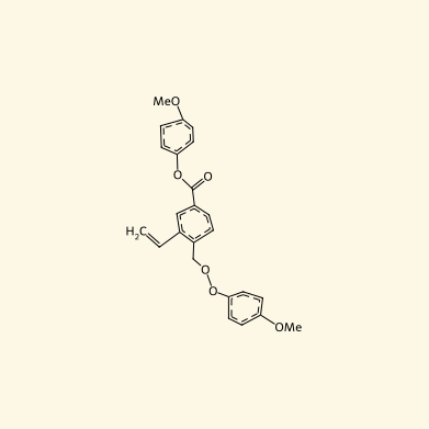 C=Cc1cc(C(=O)Oc2ccc(OC)cc2)ccc1COOc1ccc(OC)cc1